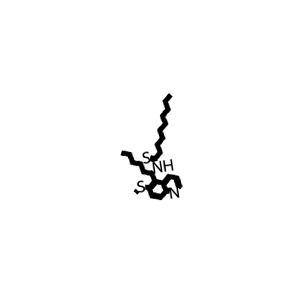 CCCCCCCCCC(=S)NC(CCCCC)c1c(SC)ccc2ncccc12